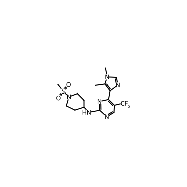 Cc1c(-c2nc(NC3CCN(S(C)(=O)=O)CC3)ncc2C(F)(F)F)ncn1C